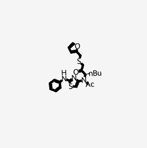 CCCC[C@@H](C(=O)CSCc1ccco1)N(C(C)=O)c1csc(Nc2ccccc2)n1